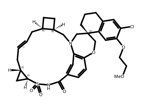 COCCOc1cc2c(cc1Cl)CCC[C@]21COc2ccc3cc2N(C[C@@H]2CC[C@@H]2C/C=C/C[C@H]2C[C@@H]2S(=O)(=O)NC3=O)C1